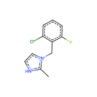 Cc1[nH]cc[n+]1Cc1c(F)cccc1Cl